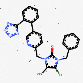 CCCc1c(Cl)n(Cc2ccccc2)c(=O)n1Cc1ccc(-c2ccccc2-c2nnn[nH]2)cn1